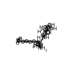 CC(C)[C@H](NC(=O)[C@@H](CCCCNC(=O)COC1CCCCC/C(N[C@@H]2O[C@H](CO)[C@H](O)C[C@H]2O)=C\1N)NC(=O)CCOCCOCCOCCOCCC1C(=O)C=CC1=O)C(N)=O